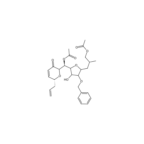 C=CC[C@@H]1C=CC(=O)C([C@@H](OC(C)=O)C2OC(CC(C)COC(C)=O)C(OCc3ccccc3)C2O)O1